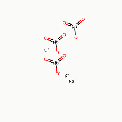 [K+].[Li+].[O]=[Nb](=[O])[O-].[O]=[Nb](=[O])[O-].[O]=[Nb](=[O])[O-].[Rb+]